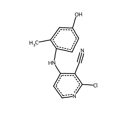 Cc1cc(O)ccc1Nc1ccnc(Cl)c1C#N